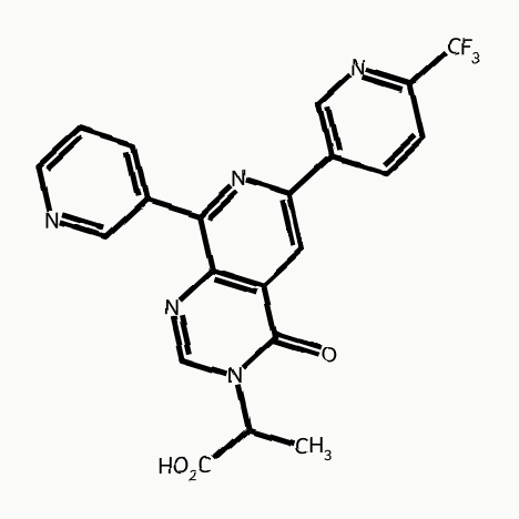 CC(C(=O)O)n1cnc2c(-c3cccnc3)nc(-c3ccc(C(F)(F)F)nc3)cc2c1=O